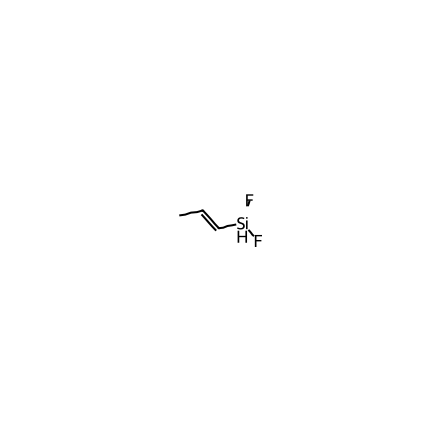 CC=C[SiH](F)F